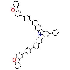 c1ccc(-c2cc3c4cc5ccc(-c6ccc(-c7ccc8oc9ccccc9c8c7)cc6)cc5cc4n4c5cc6cc(-c7ccc(-c8ccc9oc%10ccccc%10c9c8)cc7)ccc6cc5c(c2)c34)cc1